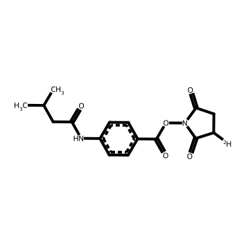 [2H]C1CC(=O)N(OC(=O)c2ccc(NC(=O)CC(C)C)cc2)C1=O